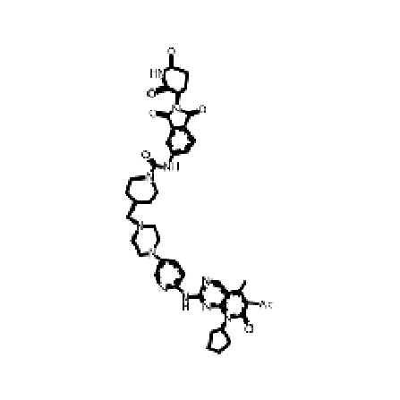 CC(=O)c1c(C)c2cnc(Nc3ccc(N4CCN(CC5CCN(C(=O)Nc6ccc7c(c6)C(=O)N(C6CCC(=O)NC6=O)C7=O)CC5)CC4)cn3)nc2n(C2CCCC2)c1=O